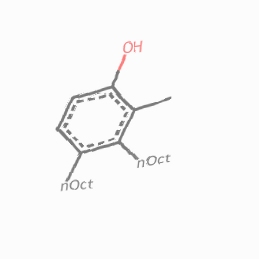 CCCCCCCCc1ccc(O)c(C)c1CCCCCCCC